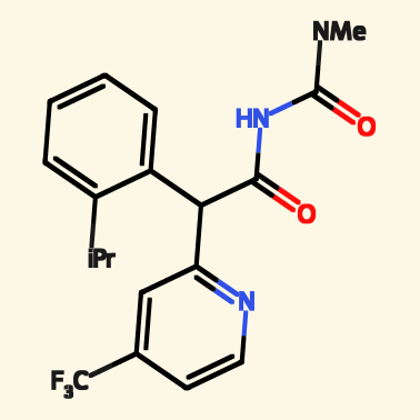 CNC(=O)NC(=O)C(c1cc(C(F)(F)F)ccn1)c1ccccc1C(C)C